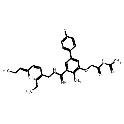 CC/C=C(/C=C\C(C)=C\CC)CNC(=N)c1cc(-c2ccc(F)cc2)cc(OCC(=O)NC(C)=N)c1C